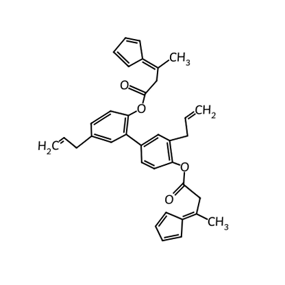 C=CCc1ccc(OC(=O)CC(C)=C2C=CC=C2)c(-c2ccc(OC(=O)CC(C)=C3C=CC=C3)c(CC=C)c2)c1